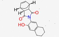 O=C1C2[C@H]3C=C[C@H](CC3)[C@H]2C(=O)N1c1cc2c(cc1O)CCCC2